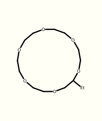 CCC1COCCOCCOCCOCCOCCO1